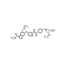 COCc1cc2c(ccn2C(N)=O)cc1Oc1ccnc(NC(=O)c2ccc(CN3CC(O)C(OC)C3)cc2)c1